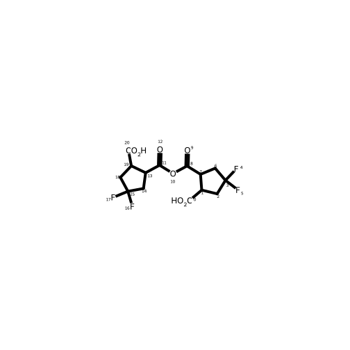 O=C(O)C1CC(F)(F)CC1C(=O)OC(=O)C1CC(F)(F)CC1C(=O)O